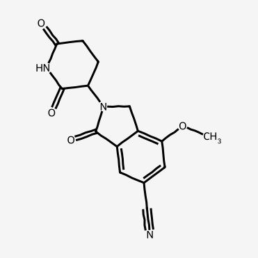 COc1cc(C#N)cc2c1CN(C1CCC(=O)NC1=O)C2=O